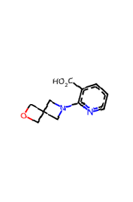 O=C(O)c1cccnc1N1CC2(COC2)C1